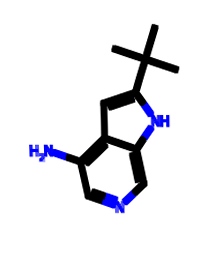 CC(C)(C)c1cc2c(N)cncc2[nH]1